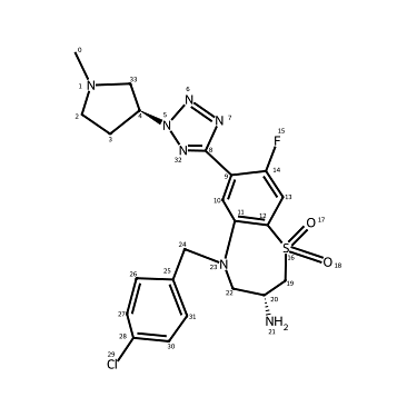 CN1CC[C@H](n2nnc(-c3cc4c(cc3F)S(=O)(=O)C[C@H](N)CN4Cc3ccc(Cl)cc3)n2)C1